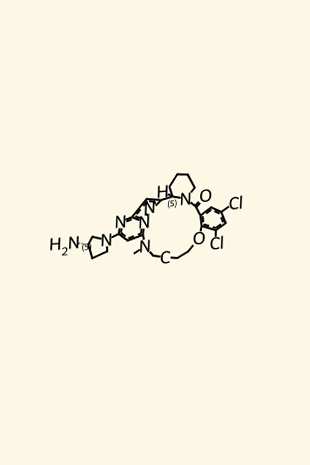 CN1CCCCOc2c(Cl)cc(Cl)cc2C(=O)N2CCCC[C@H]2c2cc3nc(N4CC[C@H](N)C4)cc1n3n2